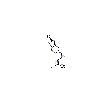 CC/C(Cl)=C\C=C/N1CCC2SC(=O)C=C2C1